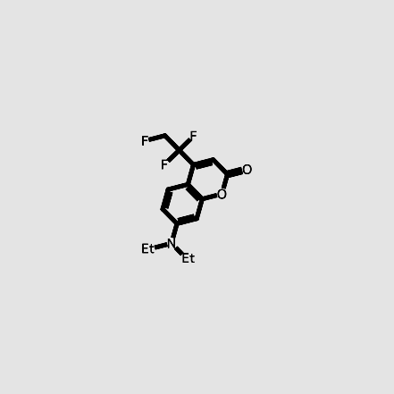 CCN(CC)c1ccc2c(C(F)(F)CF)cc(=O)oc2c1